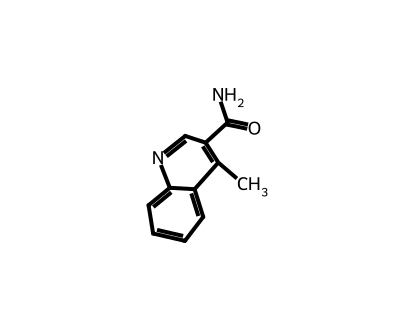 Cc1c(C(N)=O)cnc2ccccc12